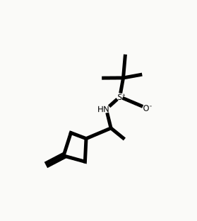 C=C1CC(C(C)N[S+]([O-])C(C)(C)C)C1